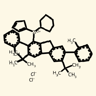 Cc1ccccc1-c1cc2c(cc1C(C)(C)C)-c1cc(C(C)(C)C)c(-c3ccccc3C)[c]([Zr+2]([C]3=CC=CC3)[CH]3CCCCC3)c1C2.[Cl-].[Cl-]